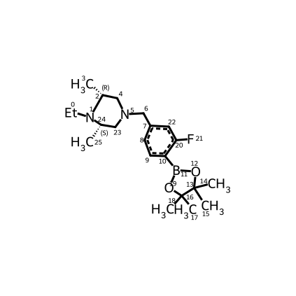 CCN1[C@H](C)CN(Cc2ccc(B3OC(C)(C)C(C)(C)O3)c(F)c2)C[C@@H]1C